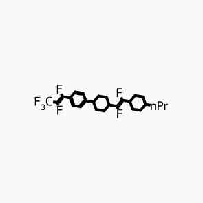 CCCC1CCC(/C(F)=C(\F)C2CCC(c3ccc(/C(F)=C(\F)C(F)(F)F)cc3)CC2)CC1